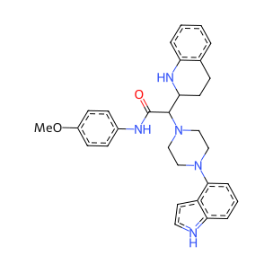 COc1ccc(NC(=O)C(C2CCc3ccccc3N2)N2CCN(c3cccc4[nH]ccc34)CC2)cc1